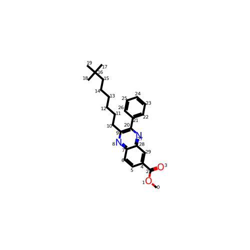 COC(=O)c1ccc2nc(CCCCCCC(C)(C)C)c(-c3ccccc3)nc2c1